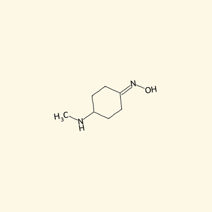 CNC1CCC(=NO)CC1